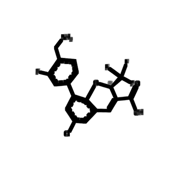 NCc1ccc(-c2cc(Cl)cc3c2O[C@@H](C(F)(F)F)C(C(=O)O)=C3)cc1F